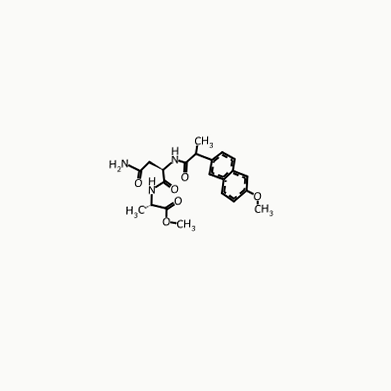 COC(=O)[C@H](C)NC(=O)[C@@H](CC(N)=O)NC(=O)C(C)c1ccc2cc(OC)ccc2c1